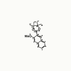 COc1cc2ccccc2nc1B1OC(C)(C)C(C)(C)O1